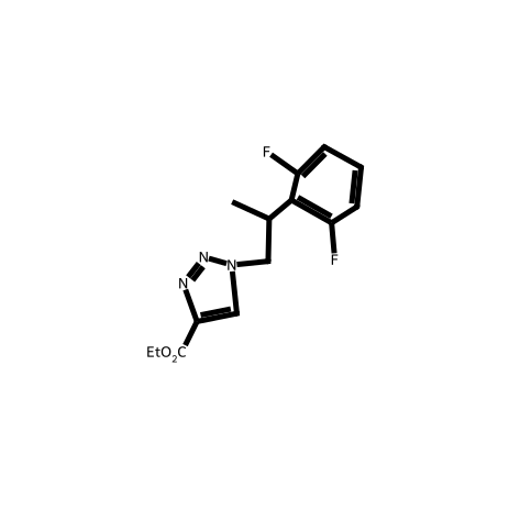 CCOC(=O)c1cn(CC(C)c2c(F)cccc2F)nn1